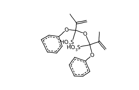 C=C(C)C(Oc1ccccc1)(OC(Oc1ccccc1)(C(=C)C)S(=O)(=O)O)S(=O)(=O)O